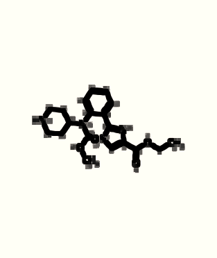 CCOC(=O)c1csc(-c2ccccc2N(C(=O)OC)C2CCNCC2)n1